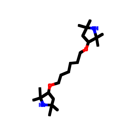 CC1(C)CC(OCCCCCCOC2CC(C)(C)NC2(C)C)C(C)(C)N1